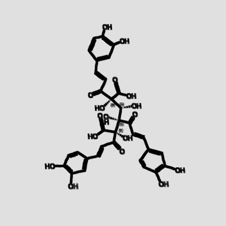 O=C(O)[C@](O)(C(=O)C=Cc1ccc(O)c(O)c1)[C@H](O)[C@@](O)(C(=O)C=Cc1ccc(O)c(O)c1)[C@](O)(C(=O)O)C(=O)C=Cc1ccc(O)c(O)c1